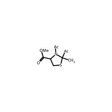 COC(=O)C1CSC(C)(C(C)=O)N1C(C)=O